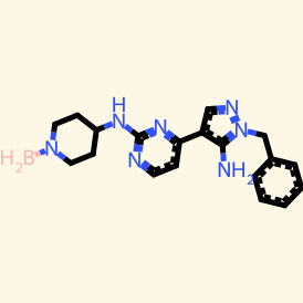 BN1CCC(Nc2nccc(-c3cnn(Cc4ccccc4)c3N)n2)CC1